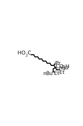 CCCCC(CC)CC(CC(CC)CCCC)(C(=O)O)C(CCCCCCCCCCCC(=O)O)C(C)C